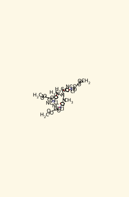 C=CC(=O)OCCOC(=O)/C(C#N)=C(\Cl)c1ccc(N(C)CCN(CCN(C)c2ccc(/C(Cl)=C(\C#N)C(=O)OCCOC(=O)C=C)cc2)CCN(C)c2ccc(/C(Cl)=C(/C#N)C(=O)OCCOC(=O)C=C)cc2)cc1